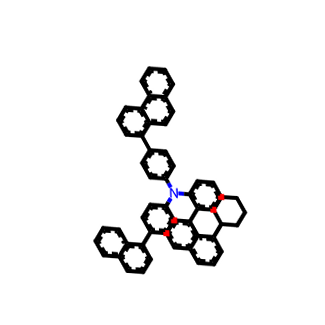 c1ccc(N(c2ccc(-c3cccc4ccccc34)cc2)c2ccc(-c3cccc4c3ccc3ccccc34)cc2)c(-c2cccc3cccc(C4CCCCC4)c23)c1